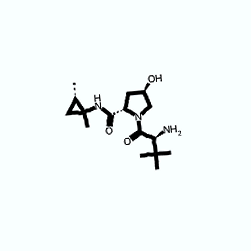 C[C@H]1CC1(C)NC(=O)[C@@H]1C[C@@H](O)CN1C(=O)[C@@H](N)C(C)(C)C